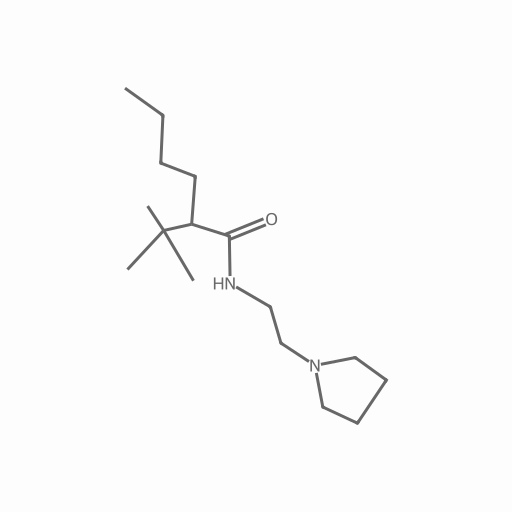 CCCCC(C(=O)NCCN1CCCC1)C(C)(C)C